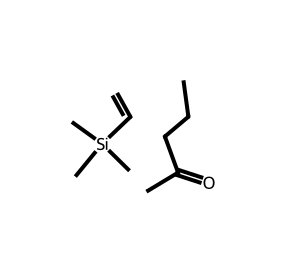 C=C[Si](C)(C)C.CCCC(C)=O